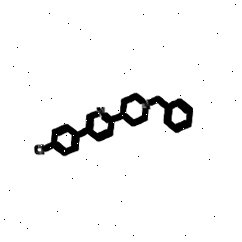 Clc1ccc(-c2ccc(C3CCN(Cc4ccccc4)CC3)nc2)cc1